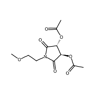 COCCN1C(=O)[C@H](OC(C)=O)[C@@H](OC(C)=O)C1=O